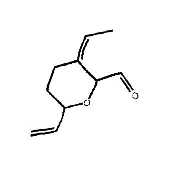 C=CC1CCC(=CC)C(C=O)O1